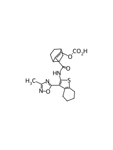 Cc1noc(-c2c(NC(=O)C3=C(OC(=O)O)C4CCC3CC4)sc3c2CCCC3)n1